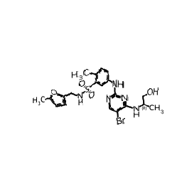 Cc1ccc(CNS(=O)(=O)c2cc(Nc3ncc(Br)c(N[C@H](C)CO)n3)ccc2C)o1